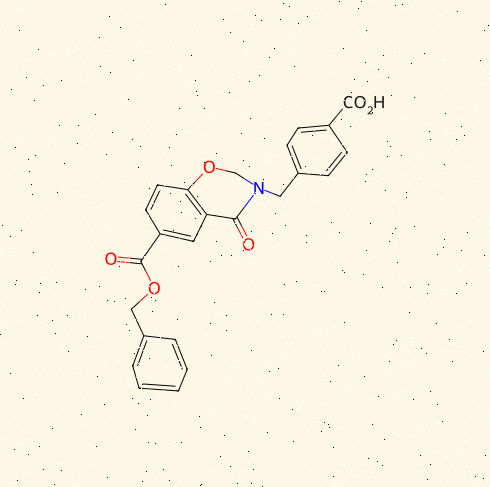 O=C(O)c1ccc(CN2COc3ccc(C(=O)OCc4ccccc4)cc3C2=O)cc1